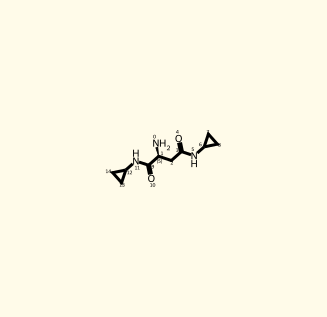 N[C@@H](CC(=O)NC1CC1)C(=O)NC1CC1